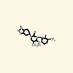 CCOC(=O)c1cn(-c2ccc3c(c2)nnn3C)c(=O)n(Cc2cccc(C(F)(F)F)c2C)c1=O